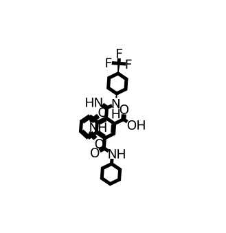 N=C(N[C@H]1CC[C@H](C(F)(F)F)CC1)c1c(C(=O)O)cc(C(=O)NC2CCCCC2)c2c3ccc(c(=O)[nH]c3=O)c12